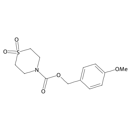 COc1ccc(COC(=O)N2CCS(=O)(=O)CC2)cc1